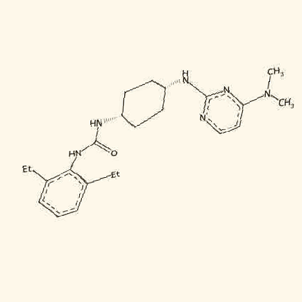 CCc1cccc(CC)c1NC(=O)N[C@H]1CC[C@@H](Nc2nccc(N(C)C)n2)CC1